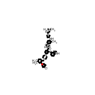 Cc1cc(S(=O)(=O)NC(=O)c2ccc(N3CCN(CC4=C(c5ccc(Cl)cc5)CC(C)(C)CC4)CC3)cc2Oc2cccc3[nH]cnc23)ccc1N[C@@H]1CCN(C(=O)CN(C)C)C1